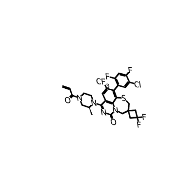 C=CC(=O)N1CCN(c2nc(=O)n3c4c(c(-c5cc(Cl)c(F)cc5F)c(C(F)(F)F)cc24)SCC2(C3)CC(F)(F)C2)[C@@H](C)C1